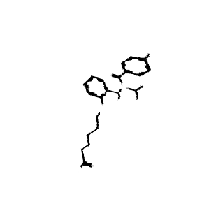 [2H]C(c1ccccc1OCCCCCC(=O)O)N(C(=O)c1ccc(F)cc1)C(C)C